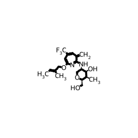 C=C1C=C(C(F)(F)F)C=C(OC/C(C)=C/C)N=C1N[C@H]1CO[C@H](CO)[C@H](C)[C@@H]1O